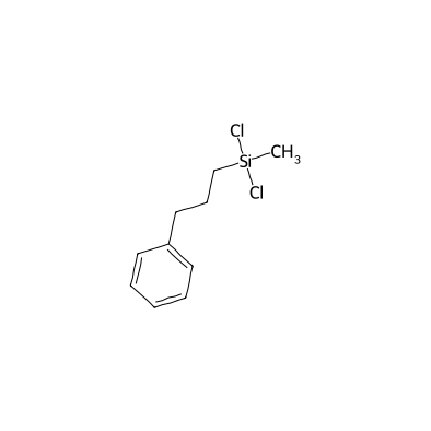 C[Si](Cl)(Cl)CCCc1ccccc1